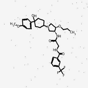 CCCO[C@@H]1CN(C2CCC(O)(c3ccc(OC)cc3)CC2)C[C@@H]1NC(=O)CNC(=O)c1cccc(C(F)(F)F)c1